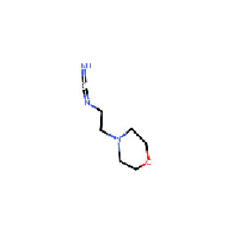 N=C=NCCN1CCOCC1